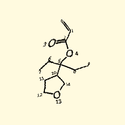 C=CC(=O)OC(CC)(CC)C1CCOC1